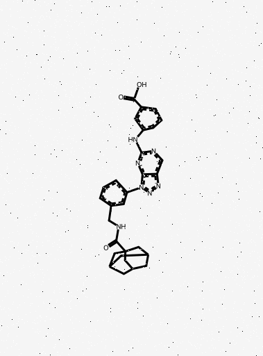 O=C(O)c1cccc(Nc2ncc3nnn(-c4cccc(CNC(=O)C56CC7CC(CC(C7)C5)C6)c4)c3n2)c1